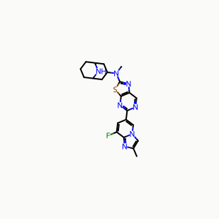 Cc1cn2cc(-c3ncc4nc(N(C)C5CC6CCCC(C5)N6)sc4n3)cc(F)c2n1